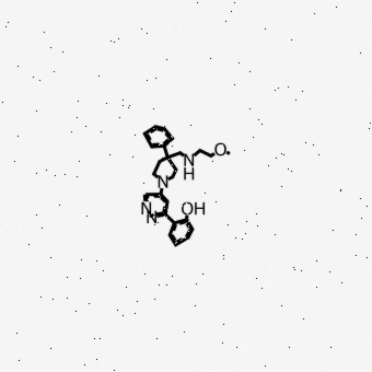 COCCNCC1(c2ccccc2)CCN(c2cnnc(-c3ccccc3O)c2)CC1